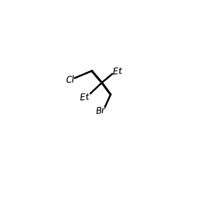 CCC(CC)(CCl)CBr